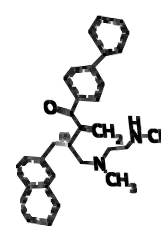 C=C(C(=O)c1ccc(-c2ccccc2)cc1)[C@@H](Cc1ccc2ccccc2c1)CN(C)CCNC